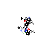 Cc1cccc(Cl)c1C(=O)N(N)[C@@H](Cc1ccc(C(=O)c2c(C)ccnc2C)cc1)C(=O)O